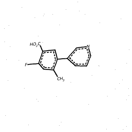 Cc1cc(F)c(C(=O)O)cc1-c1cccnc1